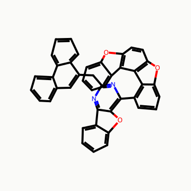 c1ccc2c(c1)cc(Cc1nc(-c3cccc4oc5ccc6oc7ccccc7c6c5c34)c3oc4ccccc4c3n1)c1ccccc12